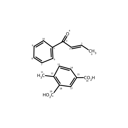 C/C=C/C(=O)c1ccccc1.Cc1ccc(C(=O)O)cc1C(=O)O